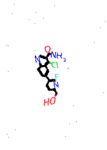 NC(=O)c1cnc2ccc(-c3ccc(CO)nc3F)cc2c1Cl